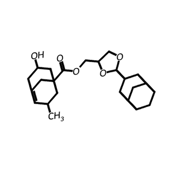 CC1C=C2CC(O)CC(C(=O)OCC3COC(C4CC5CCCC(C5)C4)O3)(C2)C1